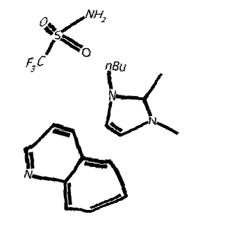 CCCCN1C=CN(C)C1C.NS(=O)(=O)C(F)(F)F.c1ccc2ncccc2c1